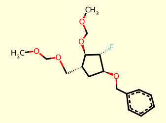 COCOC[C@H]1C[C@H](OCc2ccccc2)[C@@H](F)[C@@H]1OCOC